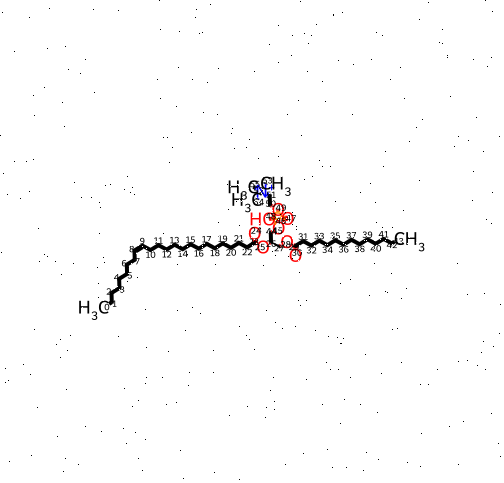 CCCCCCCC/C=C\CCCCCCCCCCCCCC(=O)O[C@H](COC(=O)CCCCCCCCCCCCC)COP(=O)(O)OCC[N+](C)(C)C